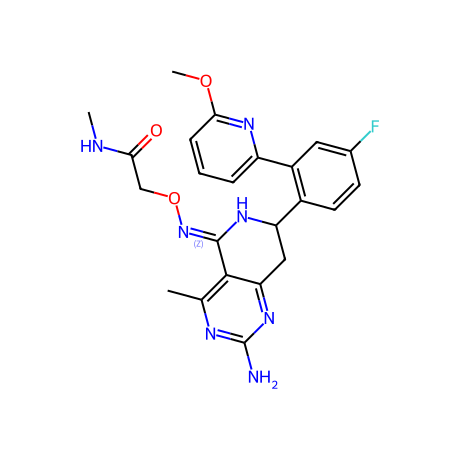 CNC(=O)CO/N=C1\NC(c2ccc(F)cc2-c2cccc(OC)n2)Cc2nc(N)nc(C)c21